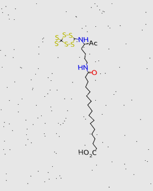 CC(=O)[C@@H](CCCCNC(=O)CCCCCCCCCCCCCCCCC(=O)O)NC1SSC2(SS1)SS2